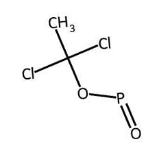 CC(Cl)(Cl)OP=O